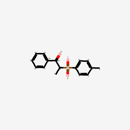 Cc1ccc(S(=O)(=O)C(C)C(=O)c2ccccc2)cc1